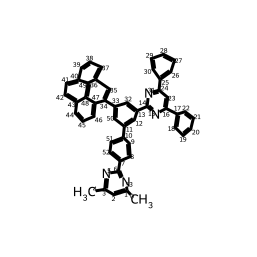 Cc1cc(C)nc(-c2ccc(-c3cc(-c4nc(-c5ccccc5)cc(-c5ccccc5)n4)cc(-c4cc5cccc6ccc7cccc4c7c65)c3)cc2)n1